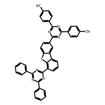 N#Cc1ccc(-c2nc(-c3ccc(C#N)cc3)nc(-c3ccc4sc5c(-c6nc(-c7ccccc7)nc(-c7ccccc7)n6)cccc5c4c3)n2)cc1